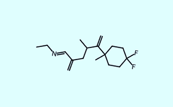 C=C(/C=N/CC)CC(C)C(=C)C1(C)CCC(F)(F)CC1